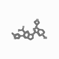 CC(=O)N1C=C2C(N3CCc4cc(-c5cnn(C)c5)c(C(F)F)cc43)=NN(C3COC3)C2CC1